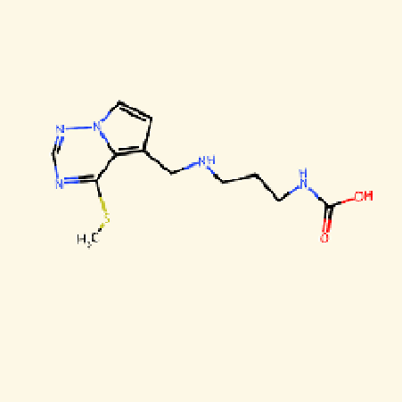 CSc1ncnn2ccc(CNCCCNC(=O)O)c12